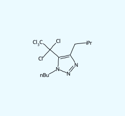 CCCCn1nnc(CC(C)C)c1C(Cl)(Cl)C(Cl)(Cl)Cl